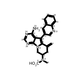 C=C1CC(N(C)C(=O)O)Cn2c1c(-c1cnc3ccccc3c1)c1c(N)ncnc12